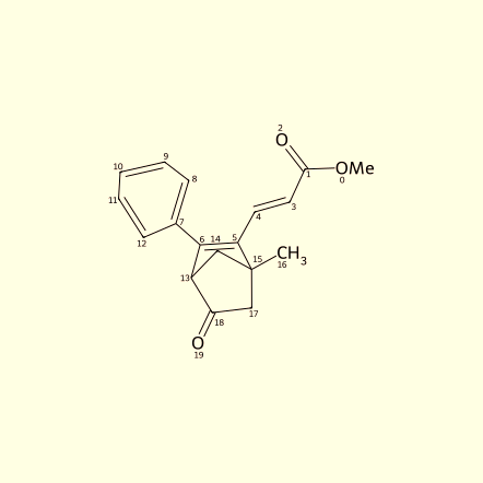 COC(=O)C=CC1=C(c2ccccc2)C2CC1(C)CC2=O